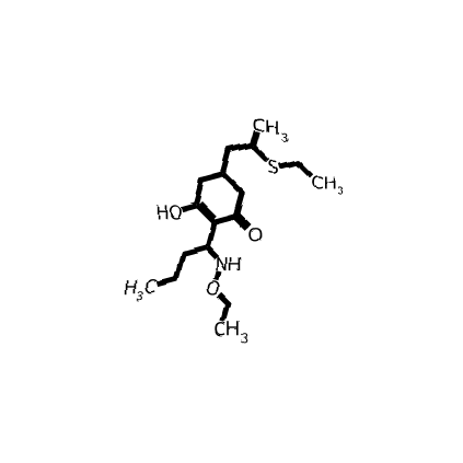 CCCC(NOCC)C1=C(O)CC(CC(C)SCC)CC1=O